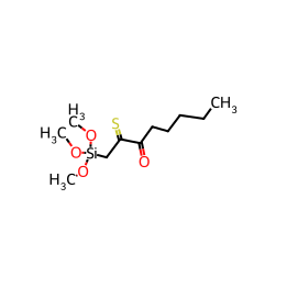 CCCCCC(=O)C(=S)C[Si](OC)(OC)OC